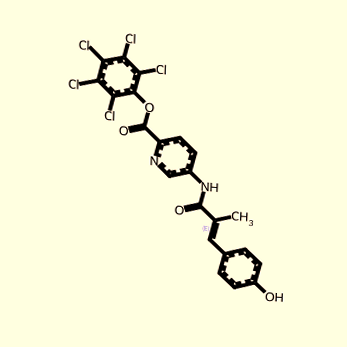 C/C(=C\c1ccc(O)cc1)C(=O)Nc1ccc(C(=O)Oc2c(Cl)c(Cl)c(Cl)c(Cl)c2Cl)nc1